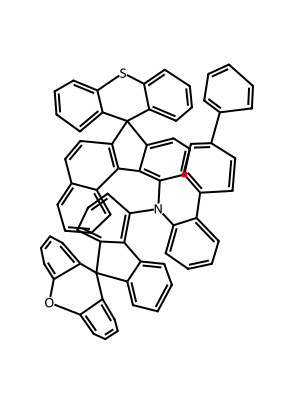 c1ccc(-c2ccc(-c3ccccc3N(c3cccc4c3-c3ccccc3C43c4ccccc4Oc4ccccc43)c3cccc4c3-c3c(ccc5ccccc35)C43c4ccccc4Sc4ccccc43)cc2)cc1